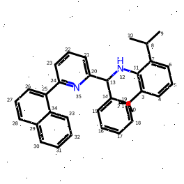 CC(C)c1cccc(C(C)C)c1NC(c1ccccc1)c1cccc(-c2cccc3ccccc23)n1